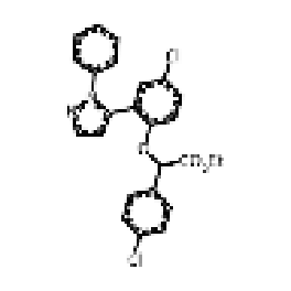 CCOC(=O)C(Oc1ccc(Cl)cc1-c1ccnn1-c1ccccc1)c1ccc(Cl)cc1